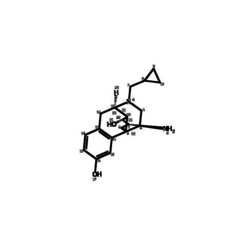 N[C@H]1C[C@@]23CCN(CC4CC4)[C@H](Cc4ccc(O)cc42)[C@]3(O)C1